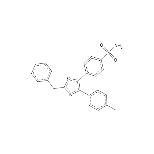 Cc1ccc(-c2nc(Cc3ccccc3)oc2-c2ccc(S(N)(=O)=O)cc2)cc1